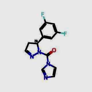 O=C(N1N=CC[C@H]1c1cc(F)cc(F)c1)n1ccnc1